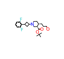 CC(C)(C)OC(=O)[C@H]1CN(C2CC(c3c(F)cccc3F)C2)CC[C@H]1CCC=O